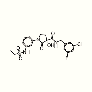 CCS(=O)(=O)Nc1cccc(N2CC[C@@](O)(C(=O)NCc3cc(F)cc(Cl)c3)C2=O)c1